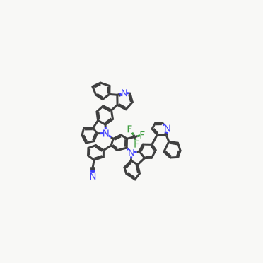 N#Cc1cccc(-c2cc(-n3c4ccccc4c4ccc(-c5cccnc5-c5ccccc5)cc43)c(C(F)(F)F)cc2-n2c3ccccc3c3ccc(-c4cccnc4-c4ccccc4)cc32)c1